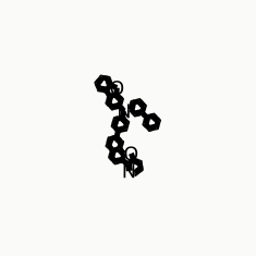 c1ccc(-c2cccc(N(c3ccc(-c4ccc5ccc6c7ncccc7oc6c5c4)cc3)c3ccc4c(c3)oc3ccccc34)c2)cc1